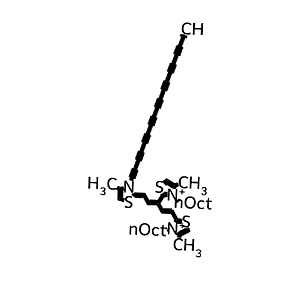 C#CC#CC#CC#CC#CC#CC#CC#CC#CN1C(C)=CS\C1=C/C=C(/C=C/c1scc(C)[n+]1CCCCCCCC)c1scc(C)[n+]1CCCCCCCC